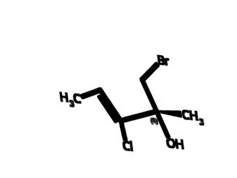 CC=C(Cl)[C@@](C)(O)CBr